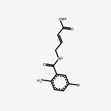 COC(=O)/C=C/CNC(=O)c1cc(Br)ccc1N